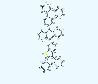 c1ccc2c(-c3ccc4c5ccccc5c5ccccc5c4c3)c3ccccc3c(-c3ccc4c(c3)sc3c5ccccc5c5ccccc5c43)c2c1